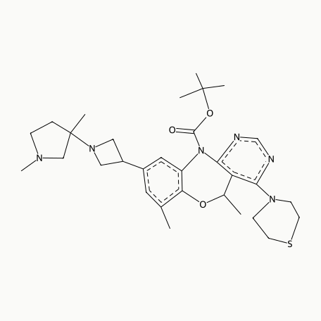 Cc1cc(C2CN(C3(C)CCN(C)C3)C2)cc2c1OC(C)c1c(N3CCSCC3)ncnc1N2C(=O)OC(C)(C)C